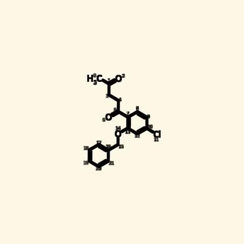 CC(=O)CCC(=O)c1ccc(Cl)cc1OCc1ccccc1